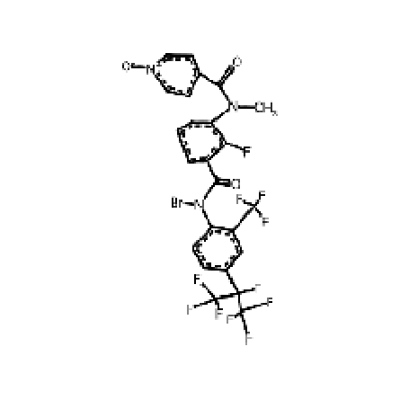 CN(C(=O)c1cc[n+]([O-])cc1)c1cccc(C(=O)N(Br)c2ccc(C(F)(C(F)(F)F)C(F)(F)F)cc2C(F)(F)F)c1F